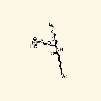 CC(=O)CCCCCCC(=O)NC(COCSP=O)COCS[PH](=O)O